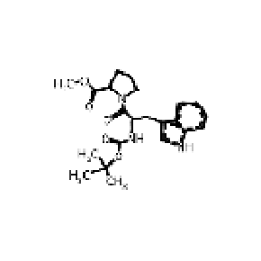 COC(=O)C1CCCN1C(=O)C(Cc1c[nH]c2ccccc12)NC(=O)OC(C)(C)C